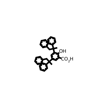 CC(Cc1ccccc1)(c1ccccc1)c1cc(C(=O)O)c(O)c(C(C)(Cc2ccccc2)c2ccccc2)c1